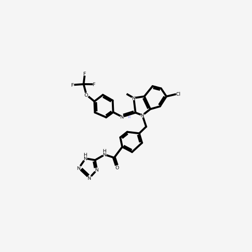 Cn1/c(=N\c2ccc(OC(F)(F)F)cc2)n(Cc2ccc(C(=O)Nc3nnn[nH]3)cc2)c2cc(Cl)ccc21